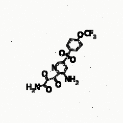 NC(=O)C(=O)C(=O)c1ncc(S(=O)(=O)c2ccc(OC(F)(F)F)cc2)cc1N